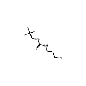 O=C(NCCCCl)NCC(F)(F)F